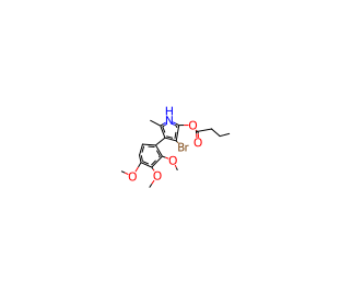 CCCC(=O)Oc1[nH]c(C)c(-c2ccc(OC)c(OC)c2OC)c1Br